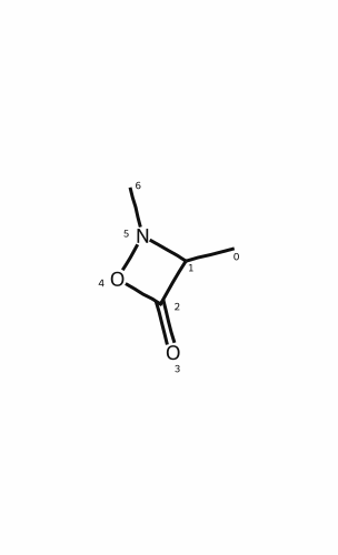 CC1C(=O)ON1C